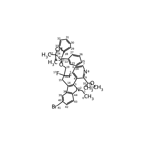 CCn1c(-c2cccnc2[C@H](C)OC)c(CC(F)(F)CO[Si](c2ccccc2)(c2ccccc2)C(C)(C)C)c2cc(Br)ccc21